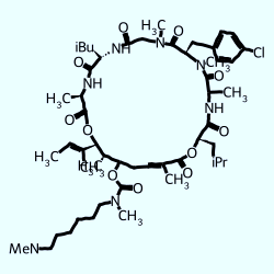 C/C=C(\C)[C@H]1OC(=O)[C@@H](C)NC(=O)[C@H]([C@H](C)CC)NC(=O)CN(C)C(=O)[C@@H](Cc2ccc(Cl)cc2)N(C)C(=O)C(C)NC(=O)[C@@H](CC(C)C)OC(=O)/C(C)=C/CC(OC(=O)N(C)CCCCCCNC)[C@@H]1C